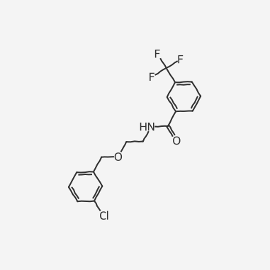 O=C(NCCOCc1cccc(Cl)c1)c1cccc(C(F)(F)F)c1